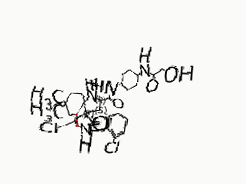 CC1(C)CCC2(CC1)N[C@@H](C(=O)N[C@H]1CC[C@H](NC(=O)CO)CC1)[C@H](c1cccc(Cl)c1F)[C@]21C(=O)Nc2cc(Cl)ccc21